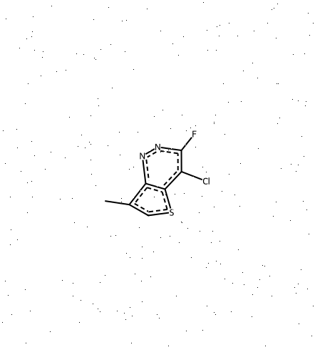 Cc1csc2c(Cl)c(F)nnc12